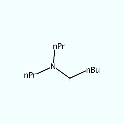 CCCC[CH]N(CCC)CCC